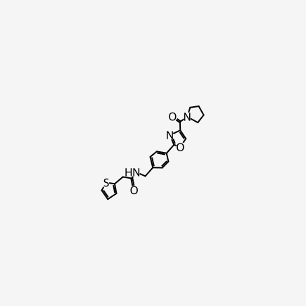 O=C(Cc1cccs1)NCc1ccc(-c2nc(C(=O)N3CCCC3)co2)cc1